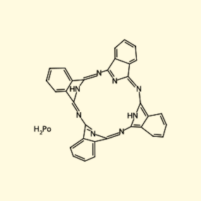 [PoH2].c1ccc2c(c1)-c1nc-2nc2[nH]c(nc3nc(nc4[nH]c(n1)c1ccccc41)-c1ccccc1-3)c1ccccc21